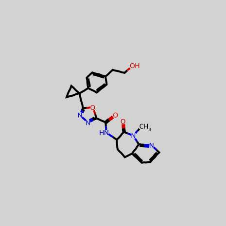 CN1C(=O)C(NC(=O)c2nnc(C3(c4ccc(CCO)cc4)CC3)o2)CCc2cccnc21